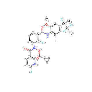 O=C(Nc1c(I)cc(C(F)(C(F)(F)F)C(F)(F)C(F)(F)F)cc1OC(F)(F)F)c1cccc(N(OC(=O)C2CC2)C(=O)c2ccc(F)nc2)c1F